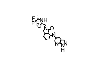 C[C@H](NC(=O)CN1Cc2cccc(N(C)c3cnc4[nH]ncc4c3)c2C1=O)C(F)(F)F